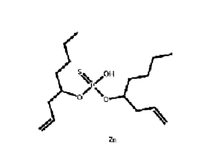 C=CCC(CCCC)OP(O)(=S)OC(CC=C)CCCC.[Zn]